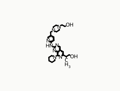 C[C@H](CO)c1cc2cnc(Nc3ccc(CN4CCN(CCO)CC4)cn3)nc2c(N2CCCCC2)n1